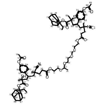 [C-]#[N+]C(C)(CCC(=O)OCCOCOCCOC(C)OCCOC(=O)CCC(C)(C#N)CC(CC(C)(S)C(=O)OC1(CC)C2CC3CC(C2)CC1C3)c1ccc(OC(C)=O)cc1)CC(CC(C)(S)C(=O)OC1(CC)C2CC3CC(C2)CC1C3)c1ccc(OC(C)=O)cc1